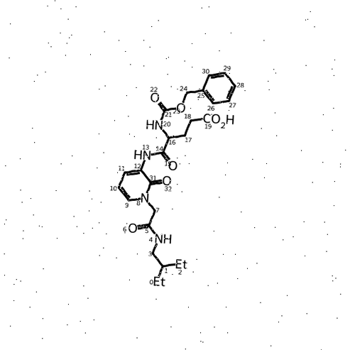 CCC(CC)CNC(=O)Cn1cccc(NC(=O)C(CCC(=O)O)NC(=O)OCc2ccccc2)c1=O